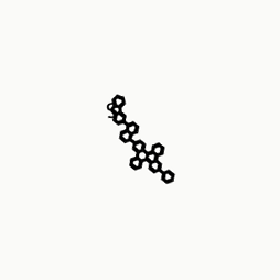 c1ccc(-c2ccc3c(c2)c2ccccc2c2c4ccc(-c5cccc6c(-c7ccc8sc9ccccc9c8c7)cccc56)cc4c4ccccc4c32)cc1